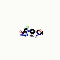 CC1(C)CN(C(=O)O)[C@@H](c2ccc(-n3c(Cl)cc4c(=O)[nH]cnc43)cc2)CO1